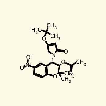 CC(=O)O[C@@H]1[C@@H](N2CC(OC(C)(C)C)=CC2=O)c2cc([N+](=O)[O-])ccc2OC1(C)C